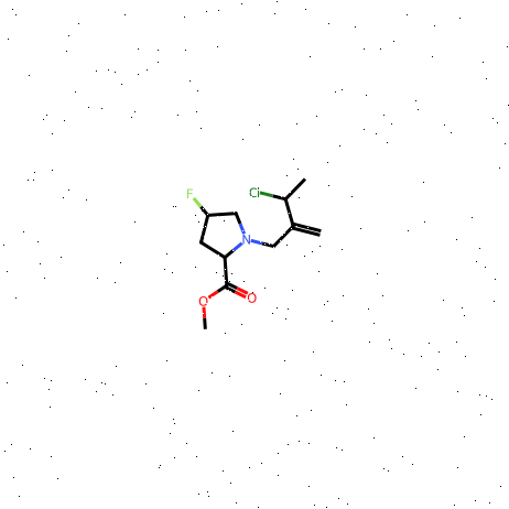 C=C(CN1CC(F)CC1C(=O)OC)C(C)Cl